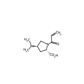 C=CC(=O)N1C[C@H](N(C)C)C[C@H]1C(=O)O